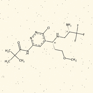 COCC[C@@H](NC[C@H](N)C(F)(F)F)c1cc(NC(=O)C(C)(C)C)nnc1Cl